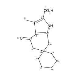 Cc1c(C(=O)O)[nH]c2c1C(=O)CC1(CCCCC1)C2